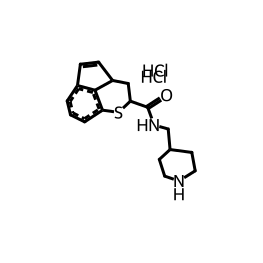 Cl.Cl.O=C(NCC1CCNCC1)C1CC2C=Cc3cccc(c32)S1